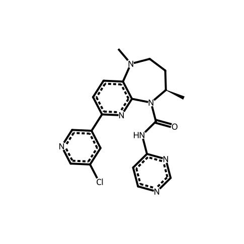 C[C@@H]1CCN(C)c2ccc(-c3cncc(Cl)c3)nc2N1C(=O)Nc1ccncn1